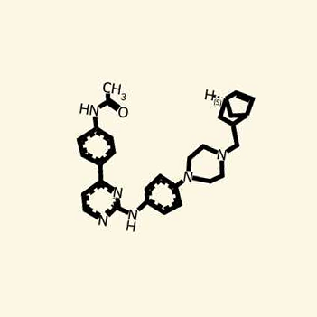 CC(=O)Nc1ccc(-c2ccnc(Nc3ccc(N4CCN(CC5C[C@H]6C=CC5C6)CC4)cc3)n2)cc1